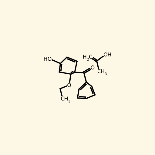 C=C(C)O.CCOc1cc(O)ccc1C(=O)c1ccccc1